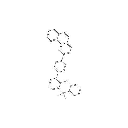 CC1(C)c2ccccc2Sc2c(-c3ccc(-c4ccc5ccc6cccnc6c5n4)cc3)cccc21